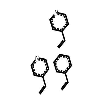 C=Cc1ccccc1.C=Cc1ccncc1.C=Cc1ccncc1